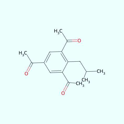 CC(=O)c1cc(C(C)=O)c(CC(C)C)c(C(C)=O)c1